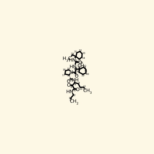 C=CCNC(=O)C(=O)C(CCCC)NC(=O)[C@@H]1CCCN1C(=O)[C@@H](NC(=O)NC1(CC)CCCCC1)C1(C)CCCCC1